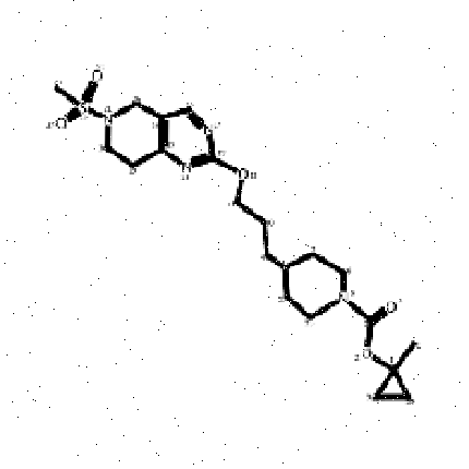 CC1(OC(=O)N2CCC(CCCOc3ncc4c(n3)CCN(S(C)(=O)=O)C4)CC2)CC1